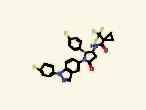 O=C1C[C@H](NC(=O)C2(C(F)(F)F)CC2)[C@@H](c2ccc(F)cc2)N1c1ccc2c(cnn2-c2ccc(F)cc2)c1